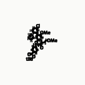 COCCC(C(=O)Nc1ccc(C(=O)OC(C)(C)C)cc1)n1cc(OC)c(-c2cc(Cl)ccc2-n2ccnc2)cc1=O